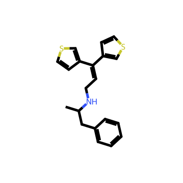 CC(Cc1ccccc1)NCC=C(c1ccsc1)c1ccsc1